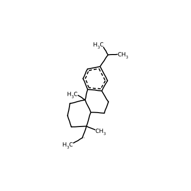 C[CH]C1(C)CCCC2(C)c3ccc(C(C)C)cc3CCC12